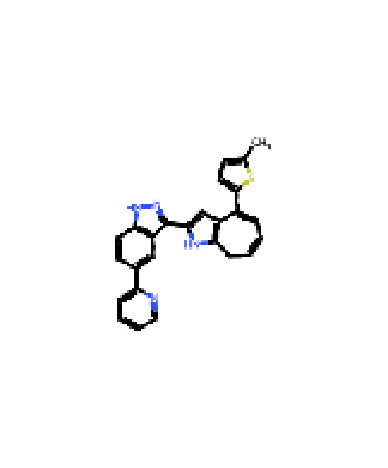 Cc1ccc(C2=CC=CCc3[nH]c(-c4n[nH]c5ccc(-c6ccccn6)cc45)cc32)s1